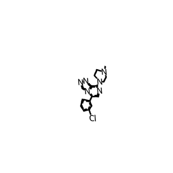 CN1CCN(c2ncc(-c3cccc(Cl)c3)n3cnnc23)CC1